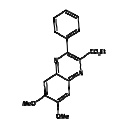 CCOC(=O)c1nc2cc(OC)c(OC)cc2nc1-c1ccccc1